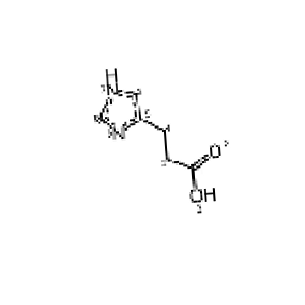 O=C(O)CCc1c[nH][c]n1